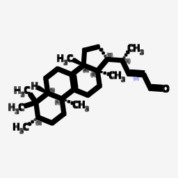 C[C@H](/C=C/C=O)[C@H]1CC[C@@]2(C)C3=C(CC[C@]12C)[C@@]1(C)CC[C@H](C)C(C)(C)[C@@H]1CC3